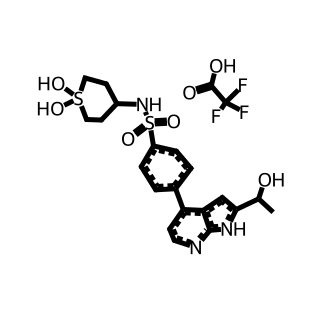 CC(O)c1cc2c(-c3ccc(S(=O)(=O)NC4CCS(O)(O)CC4)cc3)ccnc2[nH]1.O=C(O)C(F)(F)F